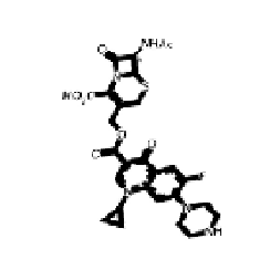 CC(=O)N[C@@H]1C(=O)N2C(C(=O)O)=C(COC(=O)c3cn(C4CC4)c4cc(N5CCNCC5)c(F)cc4c3=O)CSC12